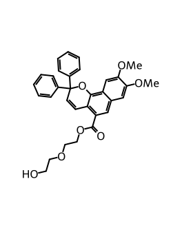 COc1cc2cc(C(=O)OCCOCCO)c3c(c2cc1OC)OC(c1ccccc1)(c1ccccc1)C=C3